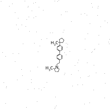 CC1CCCN1CCc1ccc(-c2ccc(C3(C)CCCC3)cc2)cc1